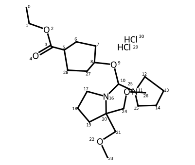 CCOC(=O)C1CCC(OC(N2CCCC2)N2CCCC2(COC)COC)CC1.Cl.Cl